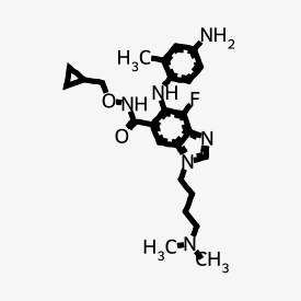 Cc1cc(N)ccc1Nc1c(C(=O)NOCC2CC2)cc2c(ncn2CCCCN(C)C)c1F